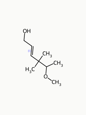 COC(C)C(C)(C)/C=C/CO